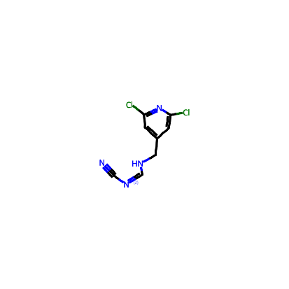 N#C/N=C\NCc1cc(Cl)nc(Cl)c1